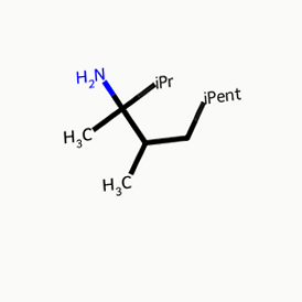 CCCC(C)CC(C)C(C)(N)C(C)C